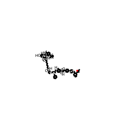 Cc1cc(S(=O)(=O)NC(=O)c2ccc(N3CCN(CC4=C(C56CC(C)(C5)C6)CC(C)(C)CC4)CC3)cc2)ccc1N[C@H](CCN1CC[C@H](C(=O)NCCCCCCC(=O)N[C@H](C(=O)N2C[C@H](O)C[C@H]2C(=O)N[C@@H](C)c2ccc(-c3scnc3C)cc2)C(C)(C)C)C1)CSc1ccccc1